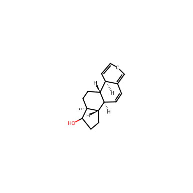 C[C@]12CC[C@H]3[C@@H](C=CC4=CCC=C[C@@H]43)[C@@H]1CCC2O